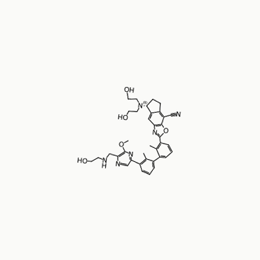 COc1nc(-c2cccc(-c3cccc(-c4nc5cc6c(c(C#N)c5o4)CC[C@H]6N(CCO)CCO)c3C)c2C)cnc1CNCCO